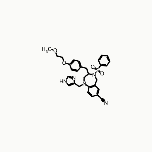 COCCOc1ccc(CC2CN(Cc3c[nH]cn3)c3ccc(C#N)cc3CN2S(=O)(=O)c2ccccc2)cc1